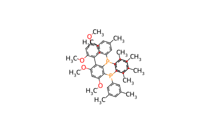 COc1ccc(-c2c(OC)cc(OC)c(P(c3cc(C)cc(C)c3)c3cc(C)cc(C)c3)c2P(c2cc(C)cc(C)c2)c2cc(C)cc(C)c2)c(OC)c1